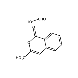 O=C(O)c1cc2ccccc2c(=O)o1.O=CO